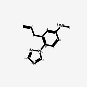 C=CCc1cc(NC)ccc1-n1cncn1